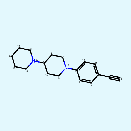 [C]#Cc1ccc(N2CCC(N3CCCCC3)CC2)cc1